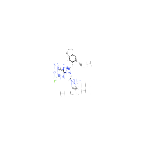 C#Cc1cc2c(cc1Cc1nc3c(N)nc(F)nc3n1CCNCC(C)(C)C)CCC2